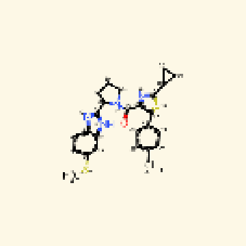 CSc1ccc2nc(C3CCCN3C(=O)c3nc(C4CC4)sc3-c3ccc(C)cc3)[nH]c2c1